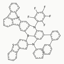 Fc1c(F)c(F)c(N2c3cc4c(cc3B3c5cc6sc7ccccc7c6cc5N(c5ccccc5)c5cc(-c6ccccc6-c6ccccc6)cc2c53)c2cccc3c5ccccc5n4c32)c(F)c1F